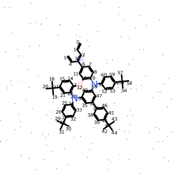 C=C/C=C(\C=C)c1ccc2c(c1)B1c3ccc(C(C)(C)C)cc3N(c3ccc(C(C)(C)C)cc3)c3cc(-c4ccc(C(C)(C)C)cc4)cc(c31)N2c1ccc(C(C)(C)C)cc1